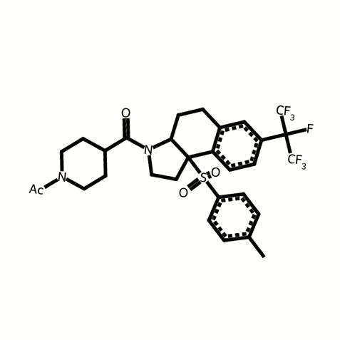 CC(=O)N1CCC(C(=O)N2CCC3(S(=O)(=O)c4ccc(C)cc4)c4ccc(C(F)(C(F)(F)F)C(F)(F)F)cc4CCC23)CC1